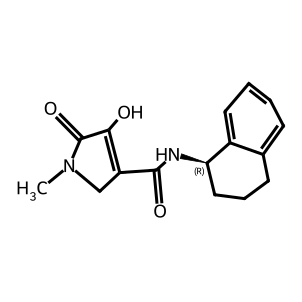 CN1CC(C(=O)N[C@@H]2CCCc3ccccc32)=C(O)C1=O